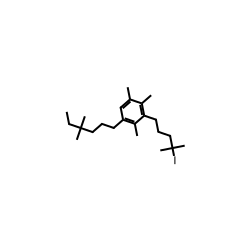 CCC(C)(C)CCCc1cc(C)c(C)c(CCCC(C)(C)I)c1C